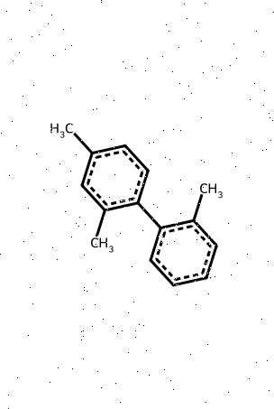 Cc1ccc(-c2cc[c]cc2C)c(C)c1